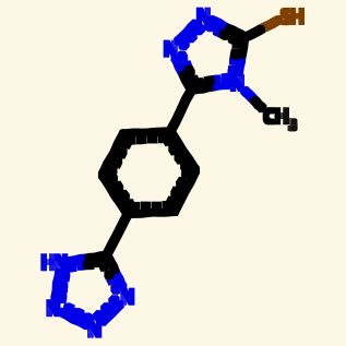 Cn1c(S)nnc1-c1ccc(-c2nnn[nH]2)cc1